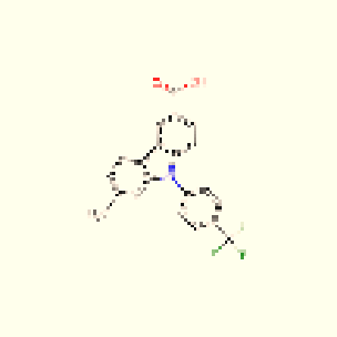 Cc1ccc2c3cc(C(=O)O)ccc3n(-c3ccc(C(F)(F)F)cc3)c2c1